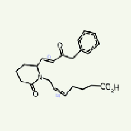 O=C(O)CCC/C=C\CN1C(=O)CCCC1/C=C/C(=O)Cc1ccccc1